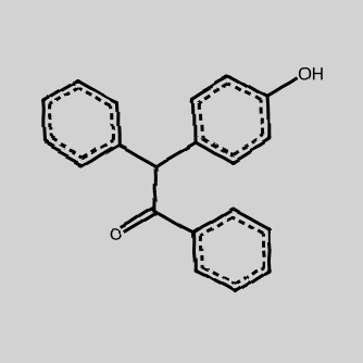 O=C(c1ccccc1)C(c1ccccc1)c1ccc(O)cc1